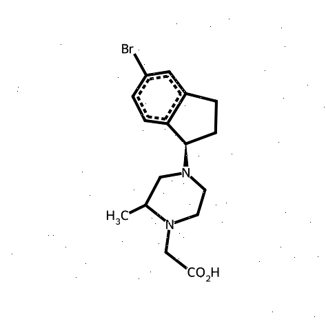 CC1CN([C@@H]2CCc3cc(Br)ccc32)CCN1CC(=O)O